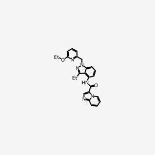 CCOc1cccc(Cn2nc(CC)c3c(NC(=O)c4cnc5ccccn45)cccc32)n1